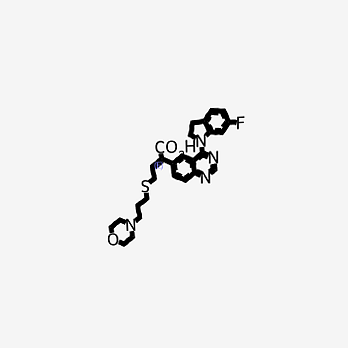 O=C(O)/C(=C/CSCCCN1CCOCC1)c1ccc2ncnc(N3CCc4ccc(F)cc43)c2c1